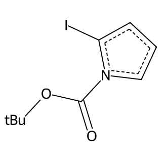 CC(C)(C)OC(=O)n1cccc1I